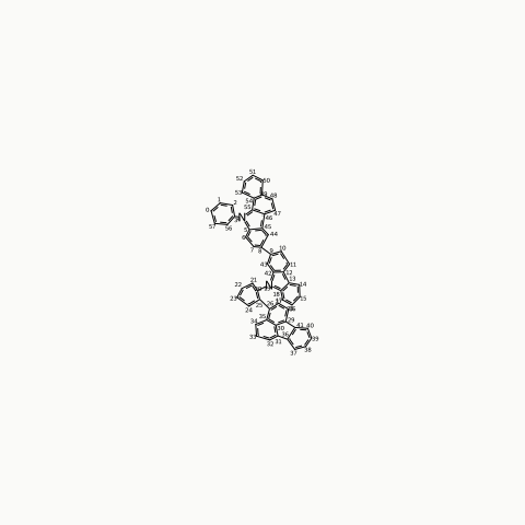 c1ccc(-n2c3ccc(-c4ccc5c6ccccc6n(-c6ccccc6-c6ccc7c8c(cccc68)-c6ccccc6-7)c5c4)cc3c3ccc4ccccc4c32)cc1